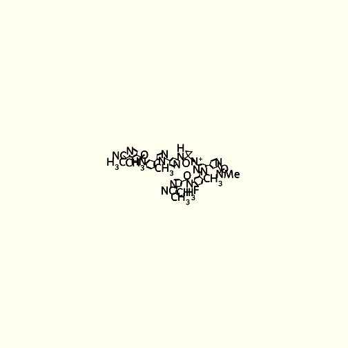 CNC(=O)c1cc(-c2cc([N+]#CC3(C(=O)Nc4cc(-c5nccc(-c6cc(NC(=O)c7ccnc(C(C)(C)C#N)c7)ccc6C)n5)ccn4)CC3)nc(-c3cc(NC(=O)c4ccnc(C(C)(C)C#N)c4)c(F)cc3C)n2)ccn1